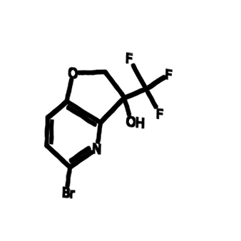 OC1(C(F)(F)F)COc2ccc(Br)nc21